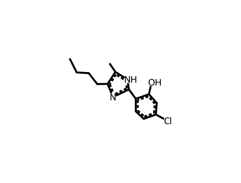 CCCCc1nc(-c2ccc(Cl)cc2O)[nH]c1C